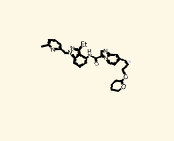 CCc1nn(Cc2cccc(C)n2)c2cccc(NC(=O)c3cnc4cc(/C=C\COC5CCCCO5)ccn34)c12